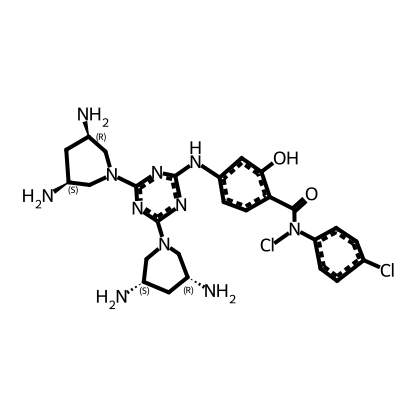 N[C@@H]1C[C@H](N)CN(c2nc(Nc3ccc(C(=O)N(Cl)c4ccc(Cl)cc4)c(O)c3)nc(N3C[C@H](N)C[C@H](N)C3)n2)C1